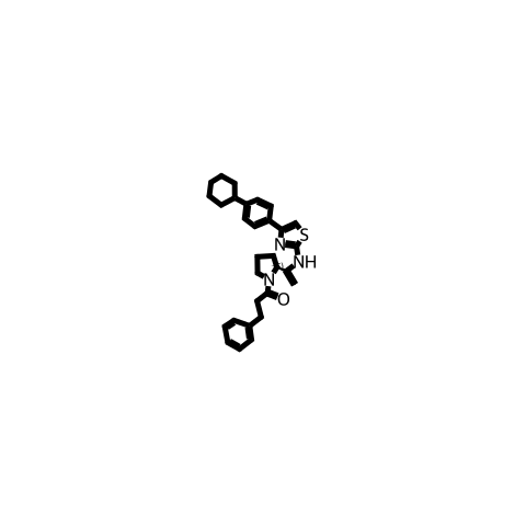 C=C(Nc1nc(-c2ccc(C3CCCCC3)cc2)cs1)[C@@H]1CCCN1C(=O)CCc1ccccc1